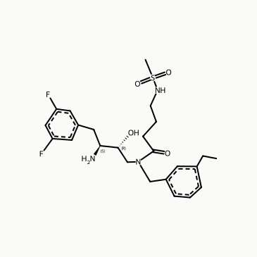 CCc1cccc(CN(C[C@@H](O)[C@@H](N)Cc2cc(F)cc(F)c2)C(=O)CCCNS(C)(=O)=O)c1